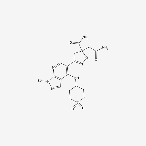 CCn1ncc2c(NC3CCS(=O)(=O)CC3)c(C3=NOC(CC(N)=O)(C(N)=O)C3)cnc21